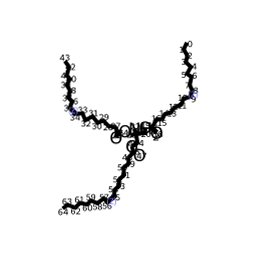 CCCCCCCC/C=C\CCCCCCCC(=O)OCC(N)(COC(=O)CCCCCCC/C=C\CCCCCCCC)COC(=O)CCCCCCC/C=C\CCCCCCCC